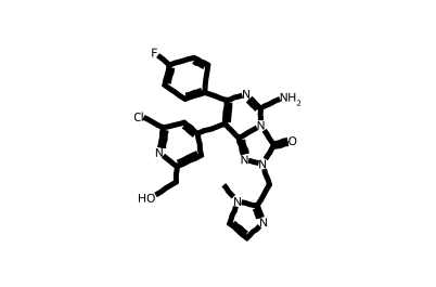 Cn1ccnc1Cn1nc2c(-c3cc(Cl)nc(CO)c3)c(-c3ccc(F)cc3)nc(N)n2c1=O